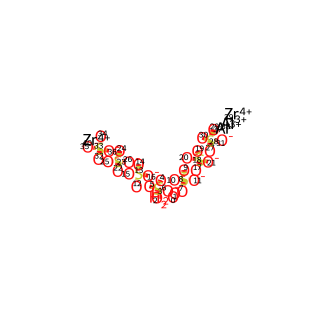 O.O.O=S(=O)([O-])[O-].O=S(=O)([O-])[O-].O=S(=O)([O-])[O-].O=S(=O)([O-])[O-].O=S(=O)([O-])[O-].O=S(=O)([O-])[O-].O=S(=O)([O-])[O-].[Al+3].[Al+3].[Zr+4].[Zr+4]